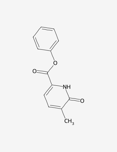 Cc1ccc(C(=O)Oc2ccccc2)[nH]c1=O